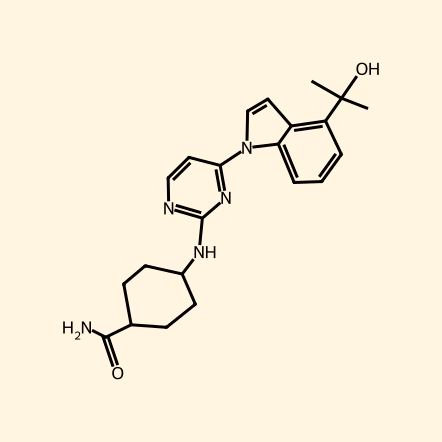 CC(C)(O)c1cccc2c1ccn2-c1ccnc(NC2CCC(C(N)=O)CC2)n1